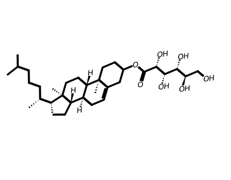 CC(C)CCC[C@@H](C)[C@H]1CC[C@H]2[C@@H]3CC=C4CC(OC(=O)[C@H](O)[C@@H](O)[C@H](O)[C@H](O)CO)CC[C@]4(C)[C@H]3CC[C@]12C